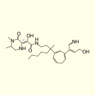 CCCCCC(C)(CCNC(=O)/C(O)=C1\NCC(C)N(C)C1=O)C1=CC(C(C=N)=CCO)=CCC=C1